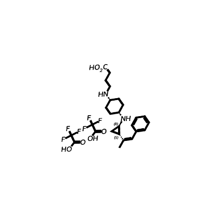 CC(=Cc1ccccc1)[C@@H]1C[C@H]1N[C@H]1CC[C@@H](NCCCC(=O)O)CC1.O=C(O)C(F)(F)F.O=C(O)C(F)(F)F